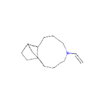 C=CN1CCCC2C3CCC2C3CC1